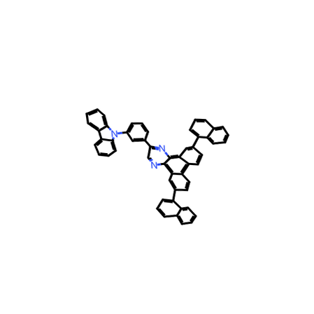 c1cc(-c2cnc3c4cc(-c5cccc6ccccc56)ccc4c4ccc(-c5cccc6ccccc56)cc4c3n2)cc(-n2c3ccccc3c3ccccc32)c1